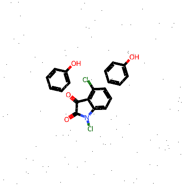 O=C1C(=O)N(Cl)c2cccc(Cl)c21.Oc1ccccc1.Oc1ccccc1